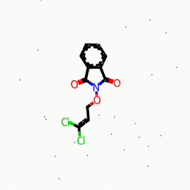 O=C1c2ccccc2C(=O)N1OCC=C(Cl)Cl